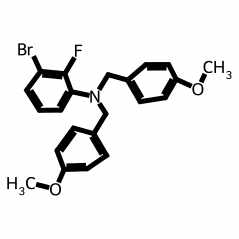 COc1ccc(CN(Cc2ccc(OC)cc2)c2cccc(Br)c2F)cc1